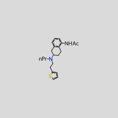 CCCN(CCc1cccs1)C1CCc2c(cccc2NC(C)=O)C1